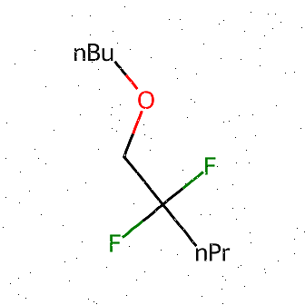 CCCCOCC(F)(F)CCC